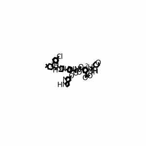 [2H]C([2H])(Nc1ccc(S(=O)(=O)NC(=O)c2ccc(N3CCN(C([2H])([2H])C4=C(c5ccc(Cl)cc5)CC(C)(C)CC4)CC3)cc2Oc2cnc3[nH]ccc3c2)cc1[N+](=O)[O-])C1CCOCC1